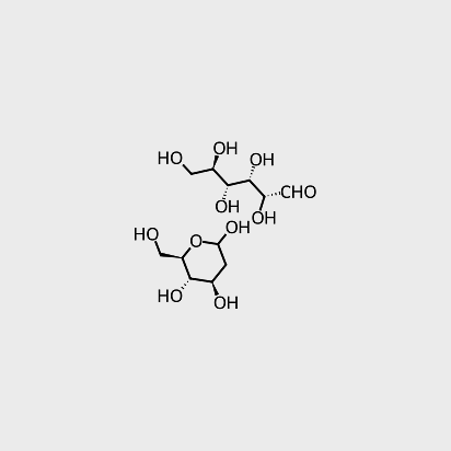 O=C[C@H](O)[C@@H](O)[C@H](O)[C@H](O)CO.OC[C@H]1OC(O)C[C@@H](O)[C@@H]1O